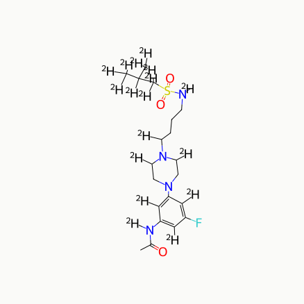 [2H]c1c(F)c([2H])c(N([2H])C(C)=O)c([2H])c1N1CC([2H])N(C([2H])CCCN([2H])S(=O)(=O)C([2H])([2H])C([2H])(C([2H])([2H])[2H])C([2H])([2H])[2H])C([2H])C1